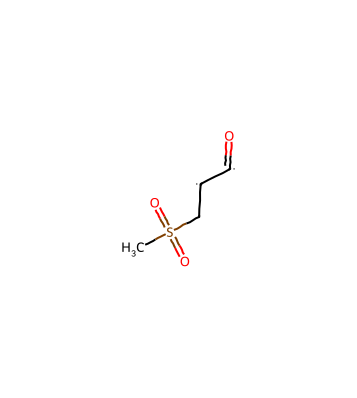 CS(=O)(=O)C[CH][C]=O